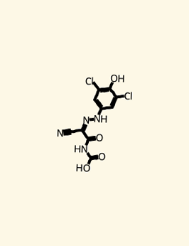 N#CC(=NNc1cc(Cl)c(O)c(Cl)c1)C(=O)NC(=O)O